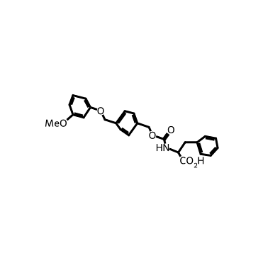 COc1cccc(OCc2ccc(COC(=O)NC(Cc3ccccc3)C(=O)O)cc2)c1